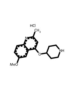 COc1ccc2nc(C)cc(OC3CCNCC3)c2c1.Cl